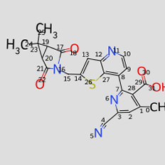 Cc1cc(C#N)nc(-c2ccnc3cc(CN4C(=O)C5C(C4=O)C5(C)C)sc23)c1C(=O)O